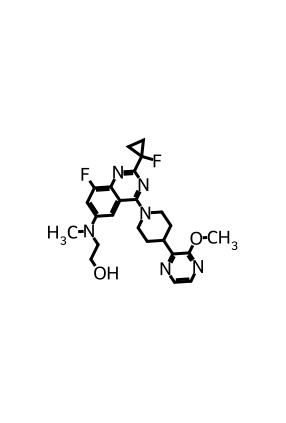 COc1nccnc1C1CCN(c2nc(C3(F)CC3)nc3c(F)cc(N(C)CCO)cc23)CC1